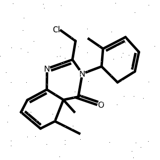 CC1=CC=CCC1N1C(=O)C2(C)C(=CC=CC2C)N=C1CCl